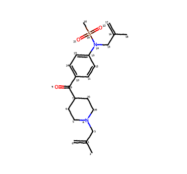 C=C(C)CN1CCC(C(=O)c2ccc(N(CC(=C)C)S(C)(=O)=O)cc2)CC1